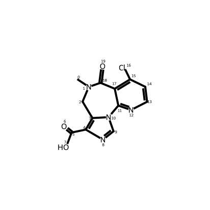 CN1Cc2c(C(=O)O)ncn2-c2nccc(Cl)c2C1=O